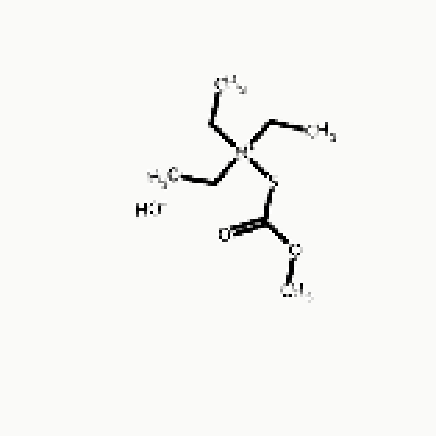 CC[N+](CC)(CC)SC(=O)OC.[OH-]